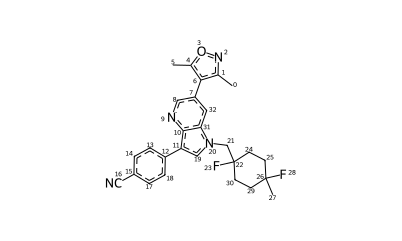 Cc1noc(C)c1-c1cnc2c(-c3ccc(C#N)cc3)cn(CC3(F)CCC(C)(F)CC3)c2c1